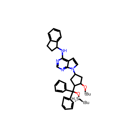 CC(C)(C)OC1CC(n2ccc3c(NC4CCc5ccccc54)ncnc32)CC1C(O[SiH2]C(C)(C)C)(c1ccccc1)c1ccccc1